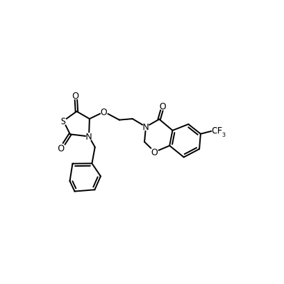 O=C1SC(=O)N(Cc2ccccc2)C1OCCN1COc2ccc(C(F)(F)F)cc2C1=O